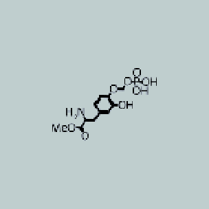 COC(=O)C(N)Cc1ccc(OCOP(=O)(O)O)c(O)c1